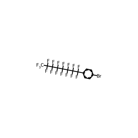 FC(F)(F)C(F)(F)C(F)(F)C(F)(F)C(F)(F)C(F)(F)C(F)(F)C(F)(F)c1ccc(Br)cc1